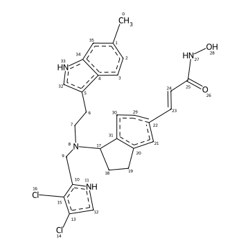 Cc1ccc2c(CCN(Cc3[nH]cc(Cl)c3Cl)C3CCc4cc(C=CC(=O)NO)ccc43)c[nH]c2c1